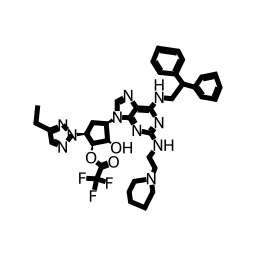 CCc1cnn([C@H]2C[C@@H](n3cnc4c(NCC(c5ccccc5)c5ccccc5)nc(NCCN5CCCCC5)nc43)[C@H](O)[C@@H]2OC(=O)C(F)(F)F)n1